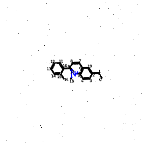 CCc1ccc2c(ccc(-c3ccccc3C)[n+]2C)c1